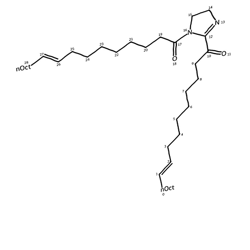 CCCCCCCCC=CCCCCCCCC(=O)C1=NCCN1C(=O)CCCCCCCC=CCCCCCCCC